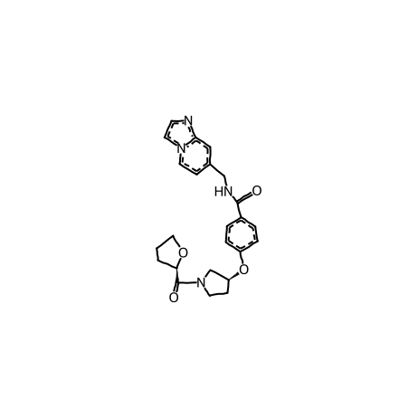 O=C(NCc1ccn2ccnc2c1)c1ccc(O[C@H]2CCN(C(=O)[C@H]3CCCO3)C2)cc1